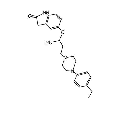 CCc1ccc(N2CCN(CCC(O)Oc3ccc4c(c3)CC(=O)N4)CC2)cc1